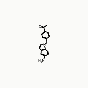 CC(=O)c1ccc(Cn2ccc3cc(N)ccc32)cc1